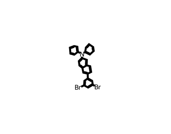 Brc1cc(Br)cc(-c2ccc3cc(N(c4ccccc4)c4ccccc4)ccc3c2)c1